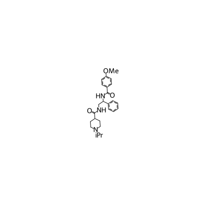 COc1ccc(C(=O)NC(CNC(=O)C2CCN(C(C)C)CC2)c2ccccc2)cc1